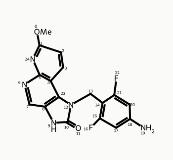 COc1ccc2c(ncc3[nH]c(=O)n(Cc4c(F)cc(N)cc4F)c32)n1